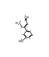 C#C/C=C(\CC)c1cccc(O)c1